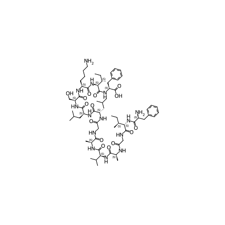 CC[C@H](C)[C@H](NC(=O)[C@H](CCCCN)NC(=O)[C@H](CO)NC(=O)[C@H](CC(C)C)NC(=O)[C@H](CC(C)C)NC(=O)CNC(=O)[C@H](C)NC(=O)[C@@H](NC(=O)[C@H](C)NC(=O)CNC(=O)[C@@H](NC(=O)[C@@H](N)Cc1ccccc1)[C@@H](C)CC)C(C)C)C(=O)N[C@@H](Cc1ccccc1)C(=O)O